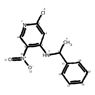 CC(Nc1cc(Cl)ncc1[N+](=O)[O-])c1ccccc1